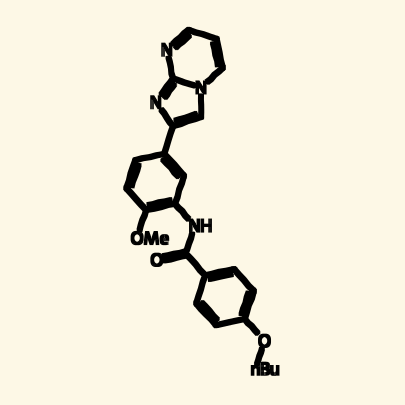 CCCCOc1ccc(C(=O)Nc2cc(-c3cn4cccnc4n3)ccc2OC)cc1